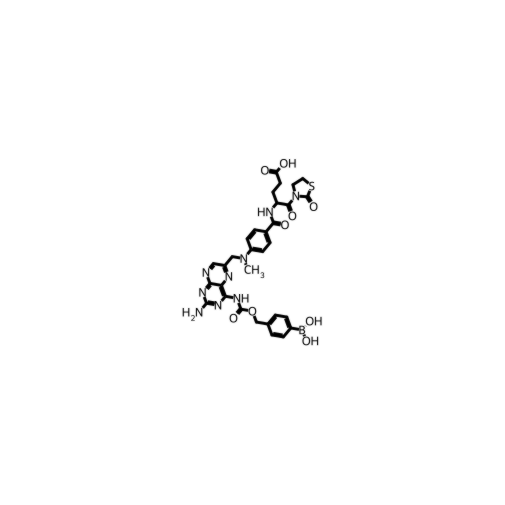 CN(Cc1cnc2nc(N)nc(NC(=O)OCc3ccc(B(O)O)cc3)c2n1)c1ccc(C(=O)NC(CCC(=O)O)C(=O)N2CCSC2=O)cc1